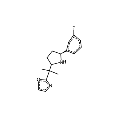 CC(C)(c1ncco1)C1CC[C@@H](c2cccc(F)c2)N1